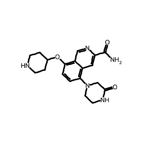 NC(=O)c1cc2c(N3CCNC(=O)C3)ccc(OC3CCNCC3)c2cn1